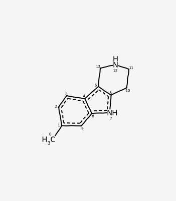 Cc1ccc2c3c([nH]c2c1)CCNC3